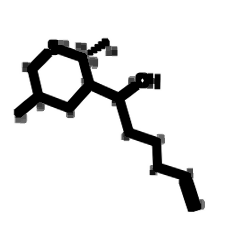 C=CCCCC(O)C1CC(C)CS[C@@H]1C